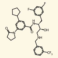 O=C(N[C@@H](Cc1cc(F)cc(F)c1)[C@@H](O)CNCc1cccc(C(F)(F)F)c1)c1cc(C2CCCC2)cc(N2CCCC2=O)c1